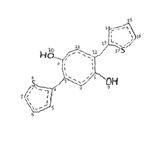 Oc1cc(-c2cccs2)c(O)cc1-c1cccs1